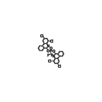 O=P(Oc1nc2c(Cl)cc(Cl)cc2c2ccccc12)(Oc1nc2c(Cl)cc(Cl)cc2c2ccccc12)C(F)F